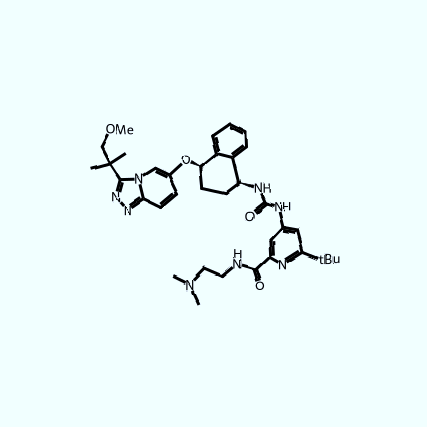 COCC(C)(C)c1nnc2ccc(O[C@@H]3CC[C@H](NC(=O)Nc4cc(C(=O)NCCN(C)C)nc(C(C)(C)C)c4)c4ccccc43)cn12